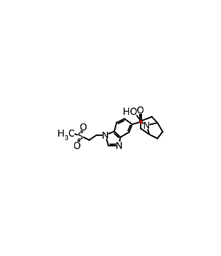 CS(=O)(=O)CCn1cnc2cc(C(=O)N3C4CCC3CC(O)C4)ccc21